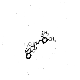 COc1cc(C)ccc1CCNC(=O)[C@H](C)n1nnc2ccccc2c1=O